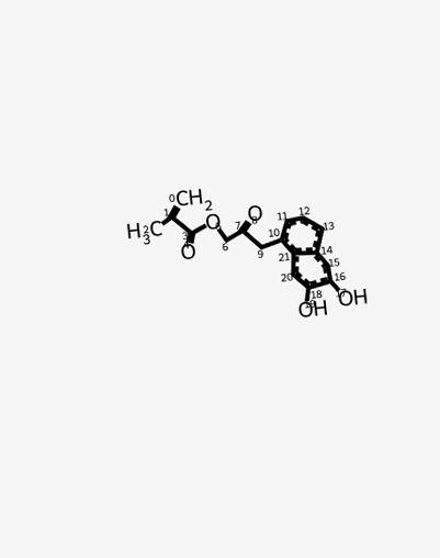 C=C(C)C(=O)OCC(=O)Cc1cccc2cc(O)c(O)cc12